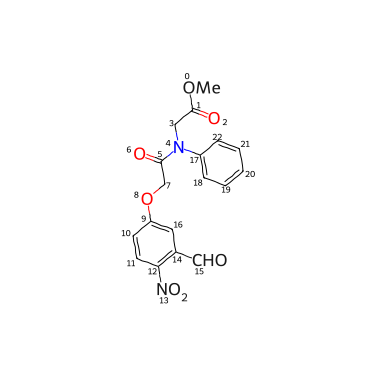 COC(=O)CN(C(=O)COc1ccc([N+](=O)[O-])c(C=O)c1)c1ccccc1